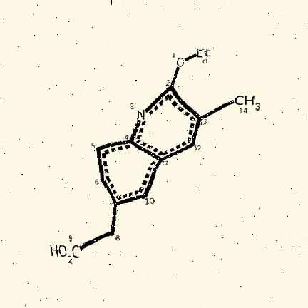 CCOc1nc2ccc(CC(=O)O)cc2cc1C